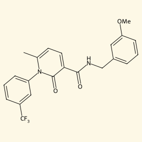 COc1cccc(CNC(=O)c2ccc(C)n(-c3cccc(C(F)(F)F)c3)c2=O)c1